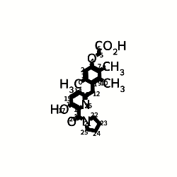 Cc1cc(OCC(=O)O)c(C)c(C)c1Cc1ccc(O)c(C(=O)N2CCCC2)n1